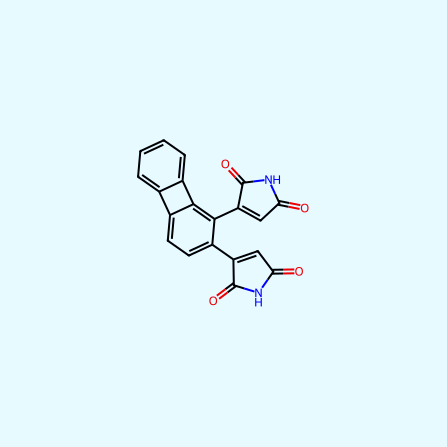 O=C1C=C(c2ccc3c(c2C2=CC(=O)NC2=O)-c2ccccc2-3)C(=O)N1